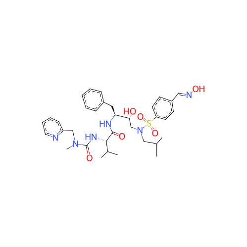 CC(C)CN(C[C@@H](O)[C@H](Cc1ccccc1)NC(=O)[C@@H](NC(=O)N(C)Cc1ccccn1)C(C)C)S(=O)(=O)c1ccc(/C=N/O)cc1